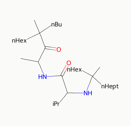 CCCCCCCC(C)(CCCCCC)NC(C(=O)NC(C)C(=O)C(C)(CCCC)CCCCCC)C(C)C